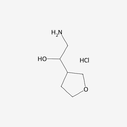 Cl.NCC(O)C1CCOC1